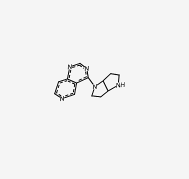 c1cc2ncnc(N3CCC4NCCC43)c2cn1